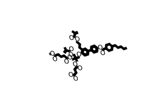 C=C(C)C(=O)OCCCc1cc(-c2ccc(OC(=O)C3CCC(CCCCC)CC3)cc2)ccc1OCC(COC(=O)CCCC(=O)OC)(COC(=O)CCC(=O)OC)COC(=O)C(=C)C